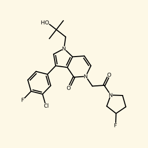 CC(C)(O)Cn1cc(-c2ccc(F)c(Cl)c2)c2c(=O)n(CC(=O)N3CCC(F)C3)ccc21